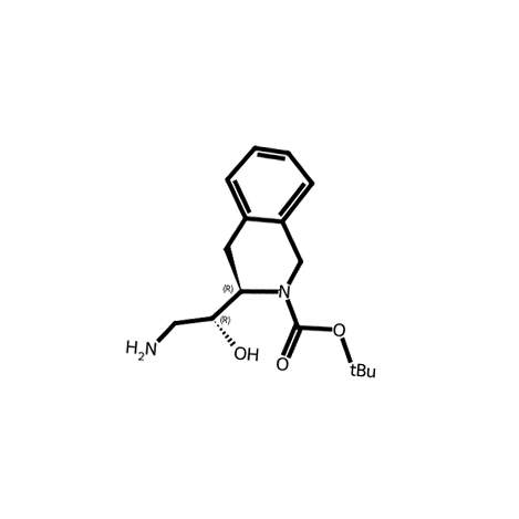 CC(C)(C)OC(=O)N1Cc2ccccc2C[C@@H]1[C@H](O)CN